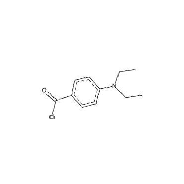 CCN(CC)c1ccc(C(=O)Cl)cc1